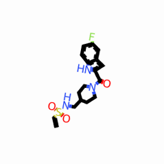 C=CS(=O)(=O)NCC1CCN(C(=O)c2cc3cc(F)ccc3[nH]2)CC1